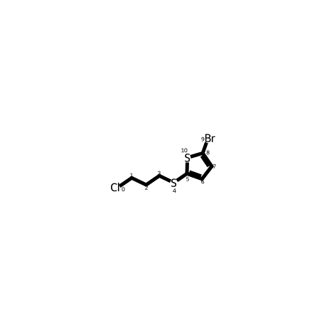 ClCCCSc1ccc(Br)s1